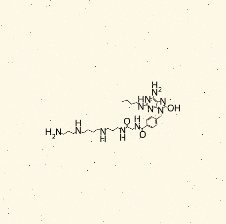 CCCCNc1nc(N)c2nc(O)n(Cc3ccc(C(=O)NCC(=O)NCCCNCCCCNCCCN)cc3)c2n1